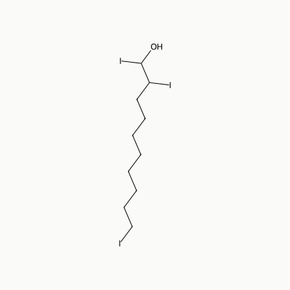 OC(I)C(I)CCCCCCCCI